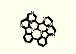 c1cc2c3c(c1)c1nccnc1n3C(C(c1cnccn1)c1cnccn1)n1c3nccnc3c3cccc-2c31